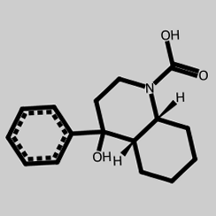 O=C(O)N1CCC(O)(c2ccccc2)[C@H]2CCCC[C@H]21